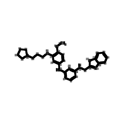 COc1ccc(Nc2nccc(NCc3nc4ccccc4o3)n2)cc1OCCCN1CCCC1